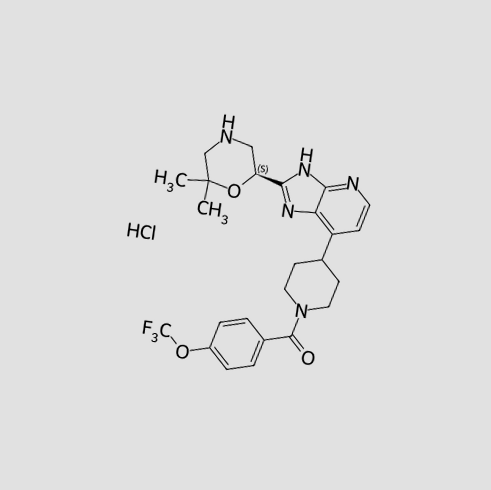 CC1(C)CNC[C@@H](c2nc3c(C4CCN(C(=O)c5ccc(OC(F)(F)F)cc5)CC4)ccnc3[nH]2)O1.Cl